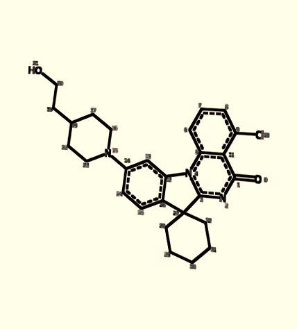 O=c1nc2n(c3cccc(Cl)c13)-c1cc(N3CCC(CCO)CC3)ccc1C21CCCCC1